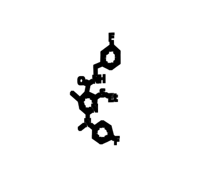 CCSc1nc(N(C)c2ccc(F)cc2)cc(C)c1C(=O)NCc1cccc(F)c1